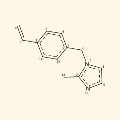 C=Cc1ccc(Cn2ccnc2C)cc1